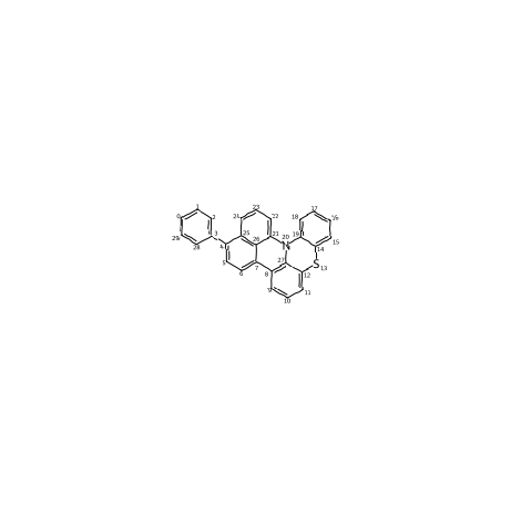 c1ccc(-c2ccc3c4cccc5sc6ccccc6n(c6cccc2c36)-c54)cc1